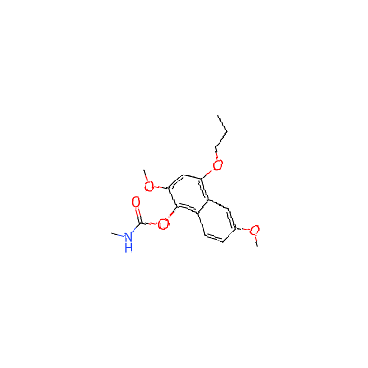 CCCOc1cc(OC)c(OC(=O)NC)c2ccc(OC)cc12